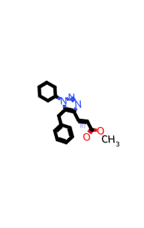 COC(=O)/C=C/c1nnn(C2CCCCC2)c1Cc1ccccc1